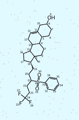 CC12CCC3C4CCC(O)CC4=CCC3C1CC[C@@H]2CCC(CCC(F)(F)F)S(=O)(=O)c1ccccc1